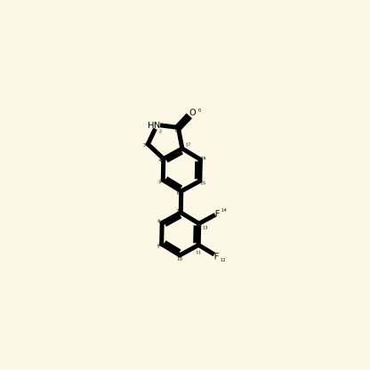 O=C1NCc2cc(-c3cccc(F)c3F)ccc21